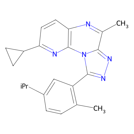 Cc1ccc(C(C)C)cc1-c1nnc2c(C)nc3ccc(C4CC4)nc3n12